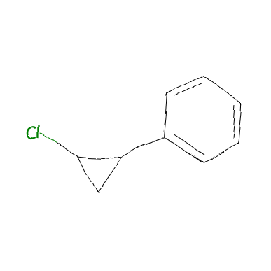 ClC1CC1c1ccccc1